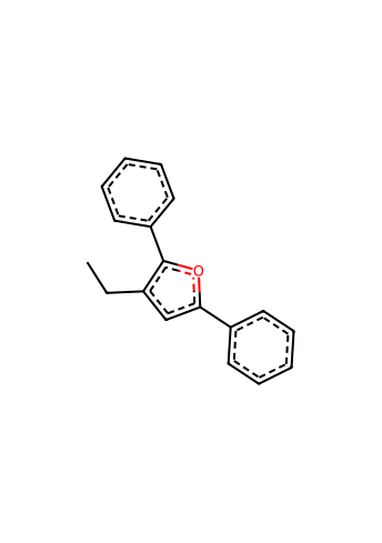 CCc1cc(-c2ccccc2)oc1-c1ccccc1